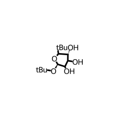 CC(C)(C)O[C@H]1OC(C(C)(C)C)[C@H](O)C(O)C1O